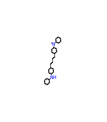 CN(c1ccccc1)c1ccc(/C=C/C=C/c2ccc(Nc3ccccc3)cc2)cc1